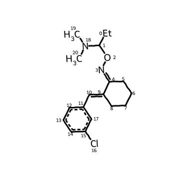 CCC(ON=C1CCCCC1=Cc1cccc(Cl)c1)N(C)C